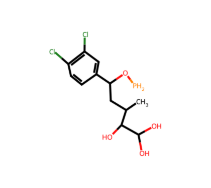 CC(CC(OP)c1ccc(Cl)c(Cl)c1)C(O)C(O)O